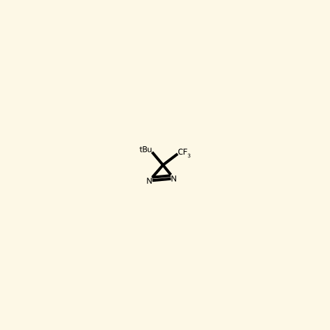 CC(C)(C)C1(C(F)(F)F)N=N1